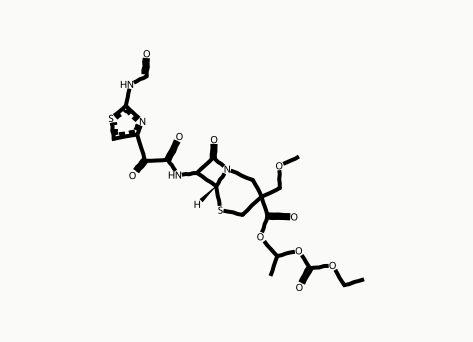 CCOC(=O)OC(C)OC(=O)C1(COC)CS[C@@H]2C(NC(=O)C(=O)c3csc(NC=O)n3)C(=O)N2C1